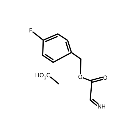 CC(=O)O.N=CC(=O)OCc1ccc(F)cc1